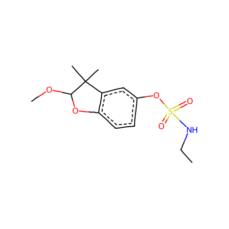 CCNS(=O)(=O)Oc1ccc2c(c1)C(C)(C)C(OC)O2